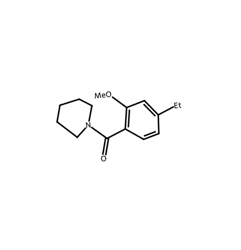 CCc1ccc(C(=O)N2CCCCC2)c(OC)c1